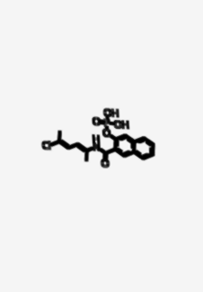 C/C(Cl)=C\C=C(/C)NC(=O)c1cc2ccccc2cc1OP(=O)(O)O